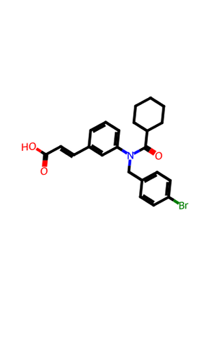 O=C(O)C=Cc1cccc(N(Cc2ccc(Br)cc2)C(=O)C2CCCCC2)c1